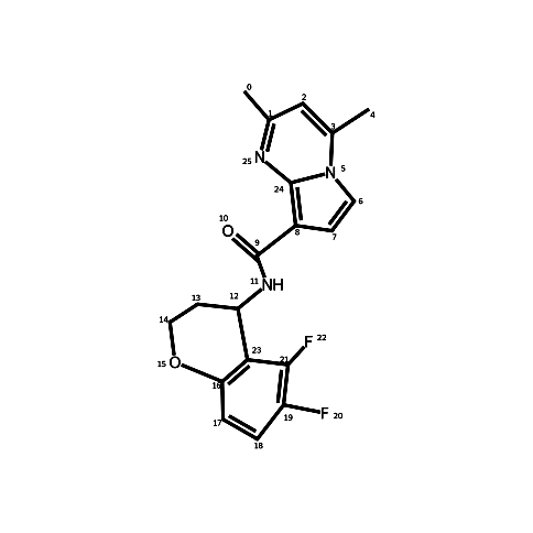 Cc1cc(C)n2ccc(C(=O)NC3CCOc4ccc(F)c(F)c43)c2n1